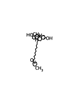 CC1CCN(C(=O)CCCCCCCCCC[C@@H]2Cc3cc(O)ccc3[C@H]3CC[C@]4(C)[C@@H](O)CC[C@H]4[C@H]23)CC1